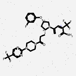 C=C(/C=C(\C(N)=O)C(F)(F)F)N1C[C@@H](Oc2cccc(F)c2)C[C@H]1CCC(=O)N1CCN(c2ncc(C(F)(F)F)cn2)CC1